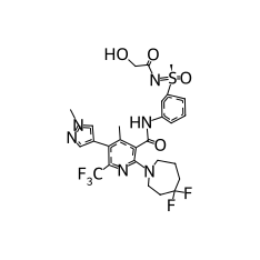 Cc1c(C(=O)Nc2cccc([S@@](C)(=O)=NC(=O)CO)c2)c(N2CCCC(F)(F)CC2)nc(C(F)(F)F)c1-c1cnn(C)c1